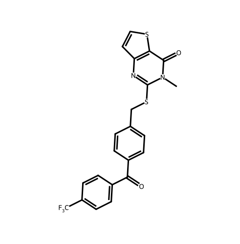 Cn1c(SCc2ccc(C(=O)c3ccc(C(F)(F)F)cc3)cc2)nc2ccsc2c1=O